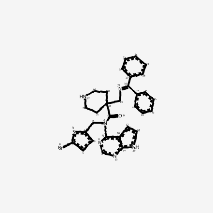 O=C(N(Cc1ccc(Br)s1)c1ncnc2[nH]ccc12)C1(CN=C(c2ccccc2)c2ccccc2)CCNCC1